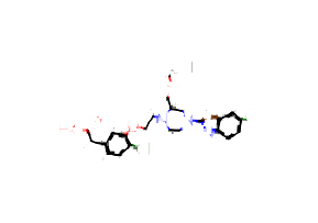 CCOCC1CN(c2nc3ccc(Cl)cc3s2)CCN1CCOc1cc(CC(=O)O)ccc1Cl